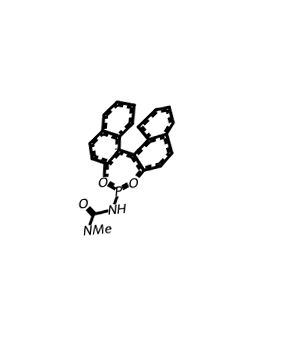 CNC(=O)Np1oc2ccc3ccccc3c2c2c(ccc3ccccc32)o1